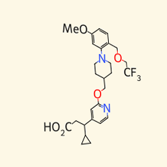 COc1ccc(COCC(F)(F)F)c(N2CCC(COc3cc(C(CC(=O)O)C4CC4)ccn3)CC2)c1